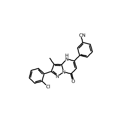 Cc1c(-c2ccccc2Cl)nn2c(=O)cc(-c3cccc(C#N)c3)[nH]c12